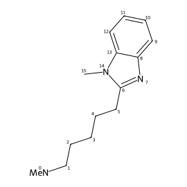 CNCCCCCc1nc2ccccc2n1C